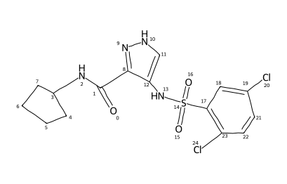 O=C(NC1CCCC1)c1n[nH]cc1NS(=O)(=O)c1cc(Cl)ccc1Cl